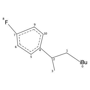 CCC(C)CC(C)c1ccc(F)cc1